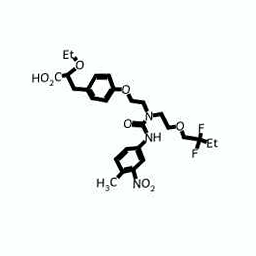 CCOC(Cc1ccc(OCCN(CCOCC(F)(F)CC)C(=O)Nc2ccc(C)c([N+](=O)[O-])c2)cc1)C(=O)O